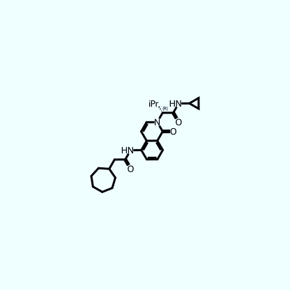 CC(C)[C@H](C(=O)NC1CC1)n1ccc2c(NC(=O)CC3CCCCCC3)cccc2c1=O